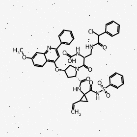 C=CC1CC1(NC(=O)[C@@H]1C[C@@H](Oc2cc(-c3ccccc3)nc3cc(OC)ccc23)CN1C(=O)C(CNC(=O)C(Cl)c1ccccc1)NC(=O)O)C(=O)NS(=O)(=O)c1ccccc1